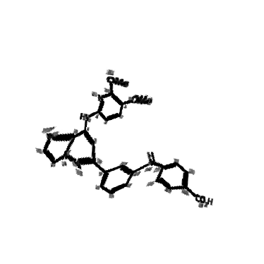 COc1ccc(Nc2cc(-c3cccc(Nc4ccc(C(=O)O)cc4)c3)nn3ccnc23)nc1OC